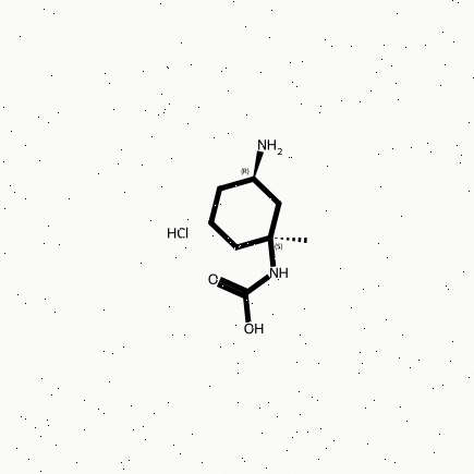 C[C@]1(NC(=O)O)CCC[C@@H](N)C1.Cl